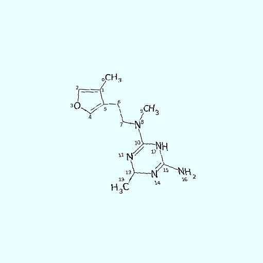 Cc1cocc1CCN(C)C1=NC(C)N=C(N)N1